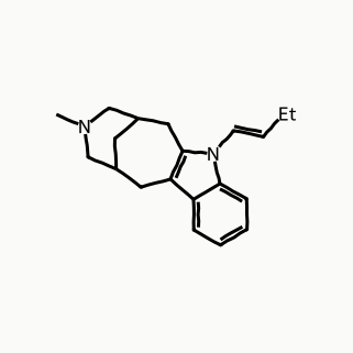 CC/C=C/n1c2c(c3ccccc31)CC1CC(C2)CN(C)C1